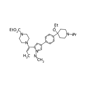 C=Nn1cc(-c2ccc(C3(OCC)CCN(C(C)C)CC3)cc2)cc1/C(=C\C)N1CCN(C(=O)OCC)CC1